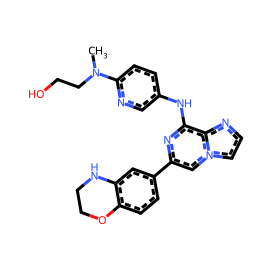 CN(CCO)c1ccc(Nc2nc(-c3ccc4c(c3)NCCO4)cn3ccnc23)cn1